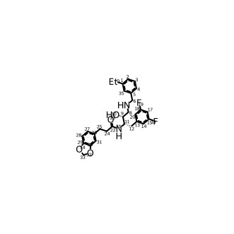 CCc1cccc(CNC[C@@H](O)[C@H](Cc2cc(F)cc(F)c2)NC(=O)CCc2ccc3c(c2)OCO3)c1